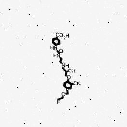 N#Cc1cc(COCCF)ccc1OCC(O)CNCCNC(=O)Nc1ccc(C(=O)O)cc1